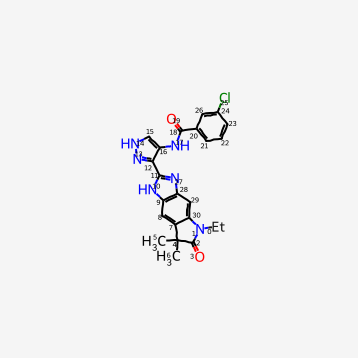 CCN1C(=O)C(C)(C)c2cc3[nH]c(-c4n[nH]cc4NC(=O)c4cccc(Cl)c4)nc3cc21